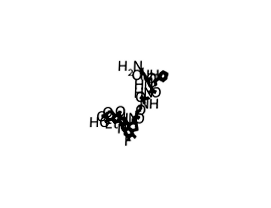 CC[C@@]1(O)C(=O)OCc2c1cc1n(c2=O)Cc2c-1nc1cc(F)c(C)c3c1c2C(NC(=O)COCNC(=O)CNC(=O)[C@H](CCc1ccccc1)NC(=O)CNC(=O)CN)CC3